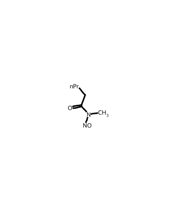 CCCCC(=O)N(C)N=O